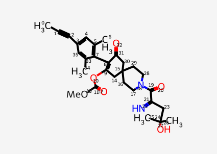 CC#Cc1cc(C)c(C2=C(OC(=O)OC)CC3(CCN(C(=O)C(=N)CC(C)(C)O)CC3)CC2=O)c(C)c1